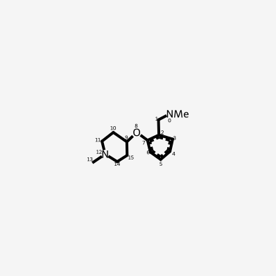 CNCc1ccccc1OC1CCN(C)CC1